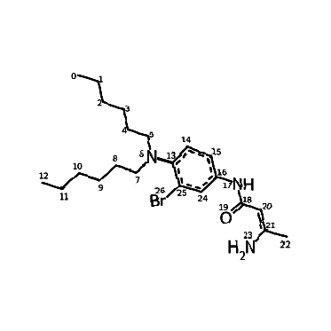 CCCCCCN(CCCCCC)c1ccc(NC(=O)C=C(C)N)cc1Br